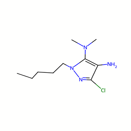 CCCCCn1nc(Cl)c(N)c1N(C)C